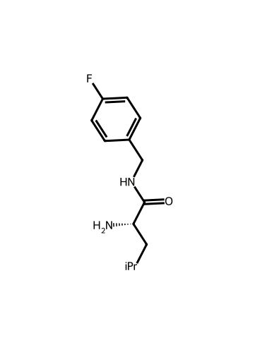 CC(C)C[C@H](N)C(=O)NCc1ccc(F)cc1